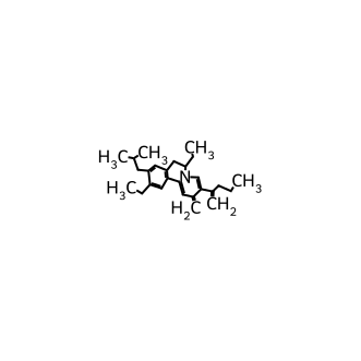 C=C1C=C2c3cc(CC)c(CC(C)C)cc3CC(CC)N2C=C1C(=C)CCC